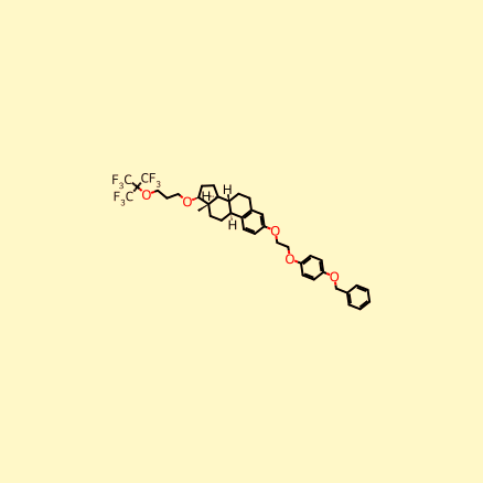 C[C@]12CC[C@@H]3c4ccc(OCCOc5ccc(OCc6ccccc6)cc5)cc4CC[C@H]3[C@@H]1CC[C@@H]2OCCCOC(C(F)(F)F)(C(F)(F)F)C(F)(F)F